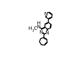 CNc1nc(C2=CC=CCCC2)nc2ccc(-c3cccnc3)cc12